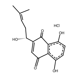 CC(C)=CC[C@@H](O)C1=CC(=O)c2c(O)ccc(O)c2C1=O.Cl